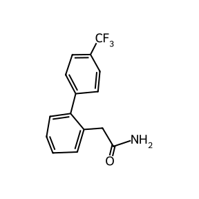 NC(=O)Cc1ccccc1-c1ccc(C(F)(F)F)cc1